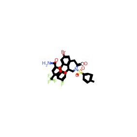 Cc1ccc(S(=O)(=O)N2CC(c3cc(F)ccc3Cl)c3c(cc(Br)cc3-c3c(F)cc(C(F)(F)F)cc3C(N)=O)CC2=C=O)cc1